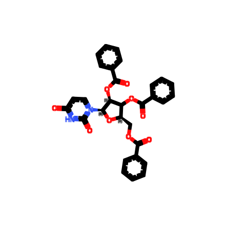 O=C(OC[C@H]1O[C@@H](n2ccc(=O)[nH]c2=O)[C@@H](OC(=O)c2ccccc2)C1OC(=O)c1ccccc1)c1ccccc1